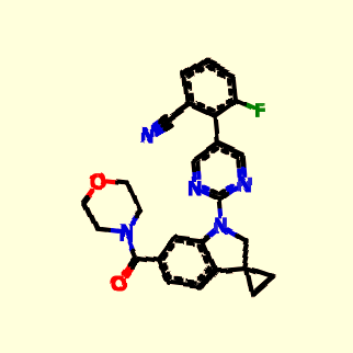 N#Cc1cccc(F)c1-c1cnc(N2CC3(CC3)c3ccc(C(=O)N4CCOCC4)cc32)nc1